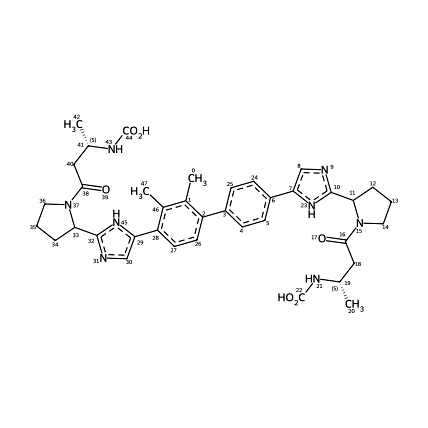 Cc1c(-c2ccc(-c3cnc(C4CCCN4C(=O)C[C@H](C)NC(=O)O)[nH]3)cc2)ccc(-c2cnc(C3CCCN3C(=O)C[C@H](C)NC(=O)O)[nH]2)c1C